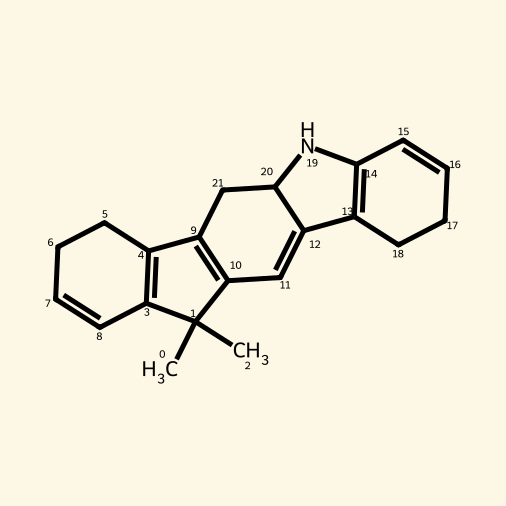 CC1(C)C2=C(CCC=C2)C2=C1C=C1C3=C(C=CCC3)NC1C2